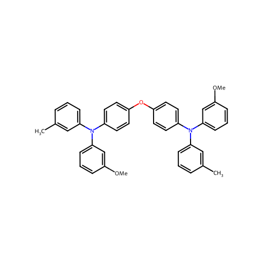 COc1cccc(N(c2ccc(Oc3ccc(N(c4cccc(C)c4)c4cccc(OC)c4)cc3)cc2)c2cccc(C)c2)c1